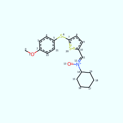 COc1ccc(Sc2ccc(C=[N+]([O-])C3CCCCC3)s2)cc1